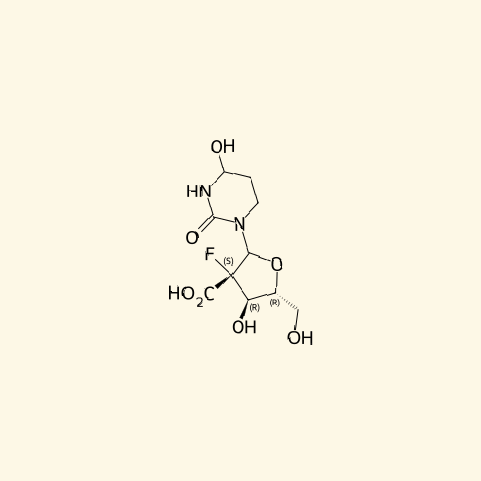 O=C1NC(O)CCN1C1O[C@H](CO)[C@@H](O)[C@@]1(F)C(=O)O